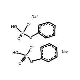 O=P([O-])(O)Oc1ccccc1.O=P([O-])(O)Oc1ccccc1.[Na+].[Na+]